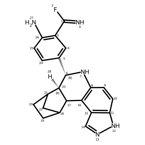 N=C(F)c1cc([C@@H]2Nc3ccc4[nH]ncc4c3C3C4CCC(C4)[C@H]32)ccc1N